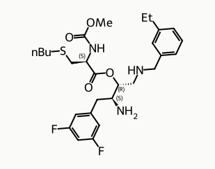 CCCCSC[C@@H](NC(=O)OC)C(=O)O[C@H](CNCc1cccc(CC)c1)[C@@H](N)Cc1cc(F)cc(F)c1